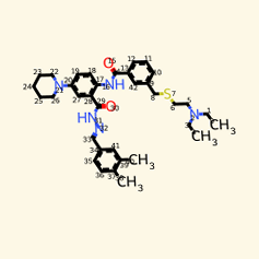 CCN(CC)CCSCc1cccc(C(=O)Nc2ccc(N3CCCCC3)cc2C(=O)NN=Cc2ccc(C)c(C)c2)c1